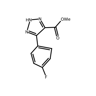 COC(=O)c1n[nH]nc1-c1ccc(F)cc1